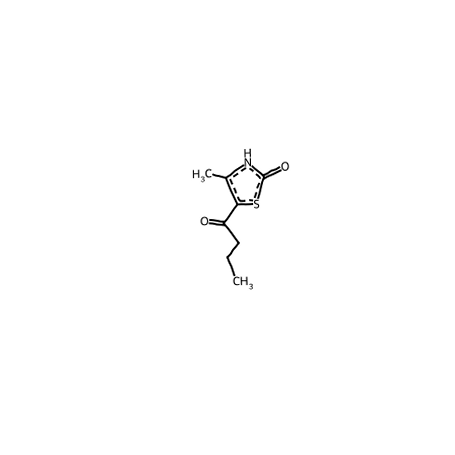 CCCC(=O)c1sc(=O)[nH]c1C